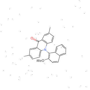 COc1ccc2ccccc2c1-n1c2ccc(C)cc2c(=O)c2cc(C)ccc21